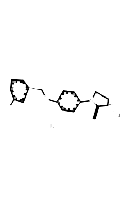 Cl.N[C@H]1CCN(c2ccc(OCc3cccc(F)c3)cc2)C1=O